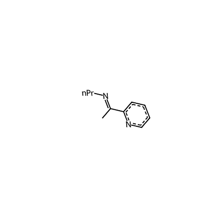 CCC/N=C(\C)c1ccccn1